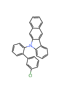 Clc1cccc(-c2ccccc2-n2c3ccccc3c3cc4ccccc4cc32)c1